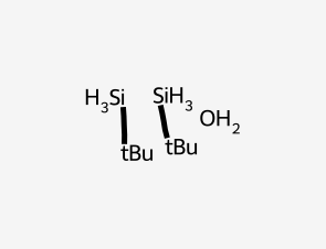 CC(C)(C)[SiH3].CC(C)(C)[SiH3].O